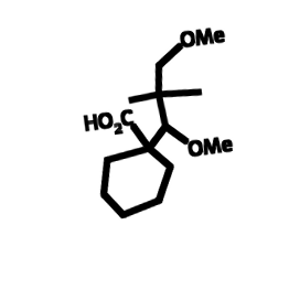 COCC(C)(C)C(OC)C1(C(=O)O)CCCCC1